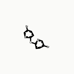 Brc1ccc(Oc2ccc(Br)cn2)nc1